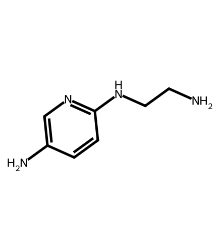 NCCNc1ccc(N)cn1